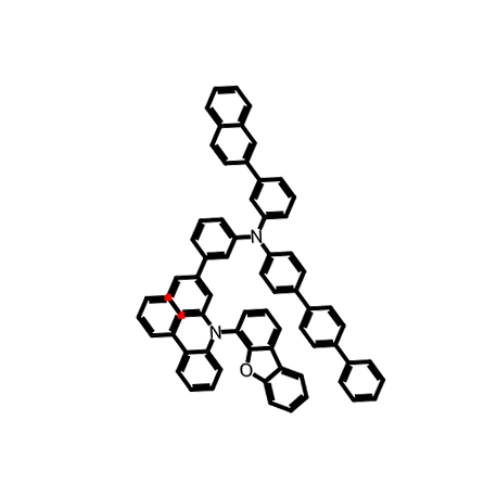 c1ccc(-c2ccc(-c3ccc(N(c4cccc(-c5cccc(N(c6ccccc6-c6ccccc6)c6cccc7c6oc6ccccc67)c5)c4)c4cccc(-c5ccc6ccccc6c5)c4)cc3)cc2)cc1